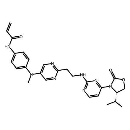 C=CC(=O)Nc1ccc(N(C)c2cnc(CCNc3nccc(N4C(=O)OC[C@@H]4C(C)C)n3)nc2)cc1